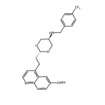 COc1ccc2nccc(CC[C@H]3OC[C@H](NCc4ccc(C(F)(F)F)cc4)CO3)c2c1